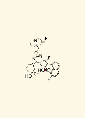 C#Cc1c(F)ccc2cccc(-c3c([N+](=O)[O-])cc4c(N5CCCC(C)(O)C5)nc(OC[C@@]56CCCN5C[C@H](F)C6)nc4c3F)c12